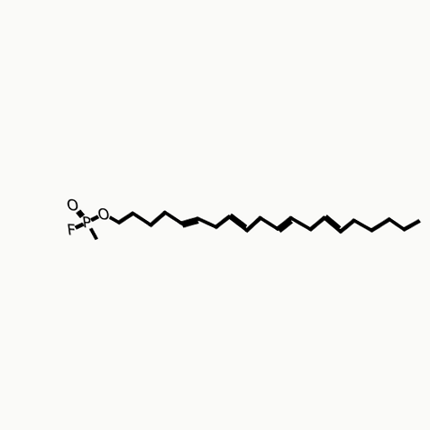 CCCCCC=CCC=CCC=CCC=CCCCCOP(C)(=O)F